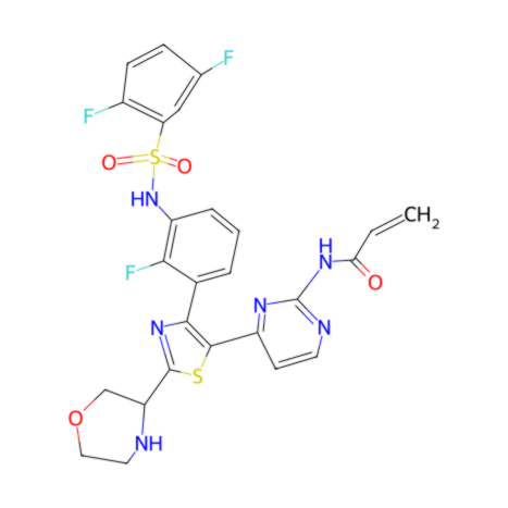 C=CC(=O)Nc1nccc(-c2sc(C3COCCN3)nc2-c2cccc(NS(=O)(=O)c3cc(F)ccc3F)c2F)n1